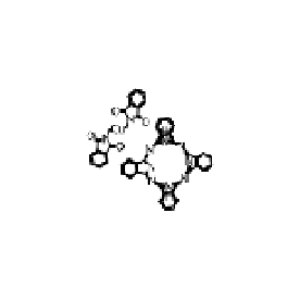 O=C1c2ccccc2C(=O)N1[CH2][Cu][CH2]N1C(=O)c2ccccc2C1=O.c1ccc2c(c1)-c1nc-2nc2[nH]c(nc3nc(nc4[nH]c(n1)c1ccccc41)-c1ccccc1-3)c1ccccc21